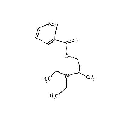 CCN(CC)C(C)COC(=O)c1cccnc1